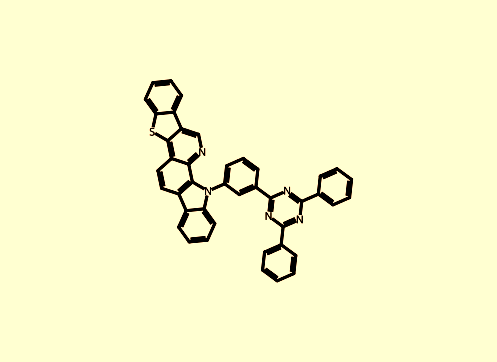 c1ccc(-c2nc(-c3ccccc3)nc(-c3cccc(-n4c5ccccc5c5ccc6c(ncc7c8ccccc8sc76)c54)c3)n2)cc1